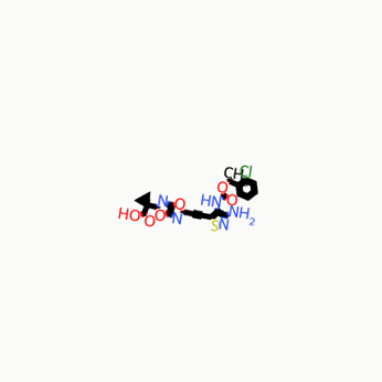 CC(OC(=O)Nc1c(N)nsc1C#Cc1nc2oc(C3(C(=O)O)CC3)nc2o1)c1ccccc1Cl